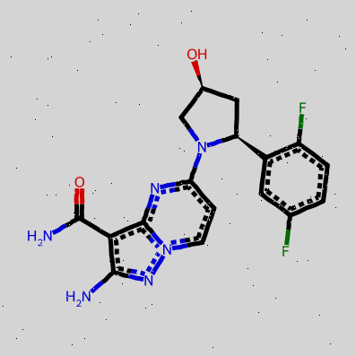 NC(=O)c1c(N)nn2ccc(N3C[C@@H](O)C[C@H]3c3cc(F)ccc3F)nc12